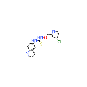 S=C(NOCc1cc(Cl)ccn1)Nc1ccc2ncccc2c1